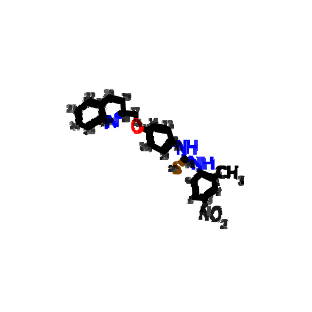 Cc1cc([N+](=O)[O-])ccc1NC(=S)Nc1ccc(OCc2ccc3ccccc3n2)cc1